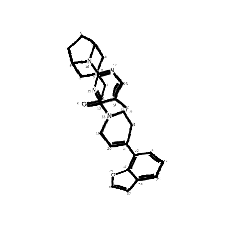 O=C(CN1CC2CCC(C1)N2c1ncc(F)cn1)N1CC=C(c2cccc3ccoc23)CC1